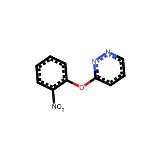 O=[N+]([O-])c1ccccc1Oc1cccnn1